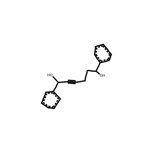 OC(C#CCCC(O)c1ccccc1)c1ccccc1